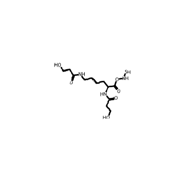 O=C(CCO)NCCCCC(NC(=O)CCO)C(=O)ONS